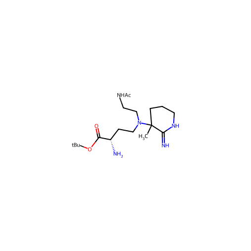 CC(=O)NCCN(CC[C@H](N)C(=O)OC(C)(C)C)C1(C)CCCNC1=N